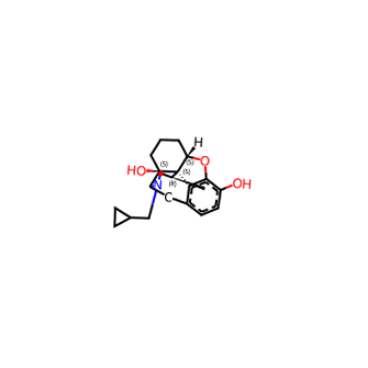 C[C@H]1CN(CC2CC2)C2Cc3ccc(O)c4c3[C@]13[C@H](CCC[C@@]23O)O4